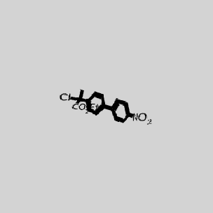 CCOC(=O)C(C)(Cl)c1ccc(-c2ccc([N+](=O)[O-])cc2)cc1